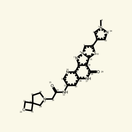 Cn1cc(-c2cn3nc4c5ncc(NC(=O)CN6CCC7(COC7)C6)cc5[nH]c(=O)c4c3s2)cn1